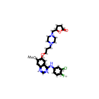 COc1cc2ncnc(Nc3ccc(F)c(Cl)c3)c2cc1OCCCN1CCN(CC2CCC(=O)O2)CC1